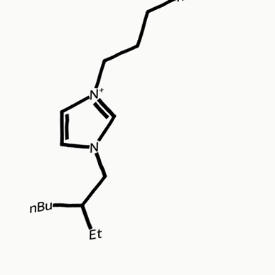 CCCCCCCCCCCC[n+]1ccn(CC(CC)CCCC)c1